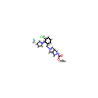 CC(C)(C)OC(=O)N1CC2CN(Cc3cccc(Cl)c3N3CC[C@H](CF)C3)CC2C1